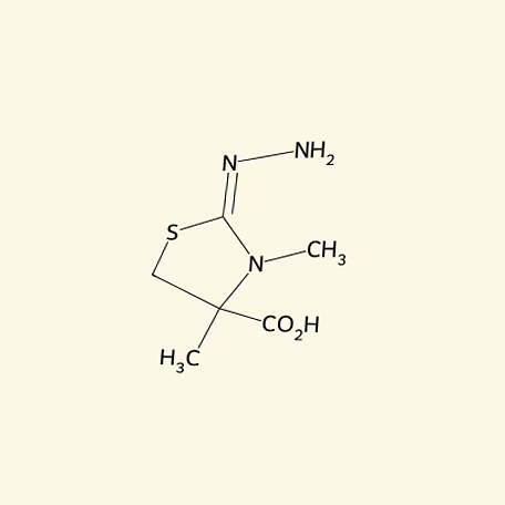 CN1C(=NN)SCC1(C)C(=O)O